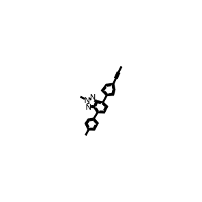 CC#Cc1ccc(-c2ccc(-c3ccc(C)cc3)c3nn(C)nc23)cc1